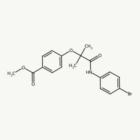 COC(=O)c1ccc(OC(C)(C)C(=O)Nc2ccc(Br)cc2)cc1